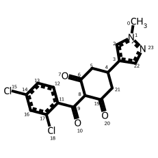 Cn1cc(C2CC(=O)C(C(=O)c3ccc(Cl)cc3Cl)C(=O)C2)cn1